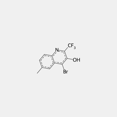 Cc1ccc2nc(C(F)(F)F)c(O)c(Br)c2c1